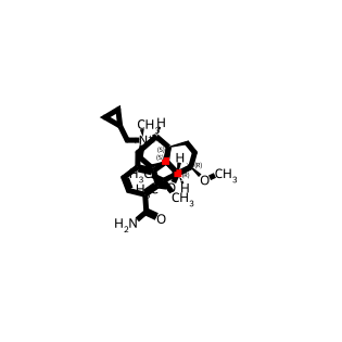 CO[C@]12CC[C@@]3(C[C@@H]1C(C)(C)C)[C@H]1Cc4ccc(C(N)=O)c5c4[C@@]3(CC[N@+]1(C)CC1CC1)[C@H]2O5